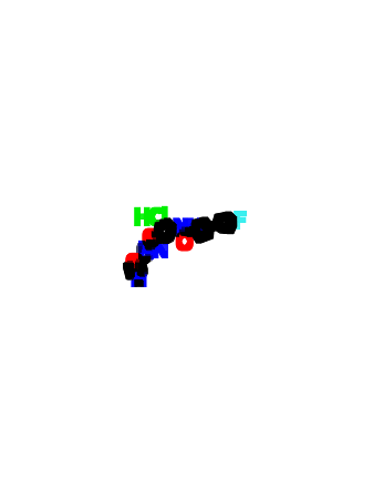 CN1CCO[C@@H](CN(C)c2nc3cc(NC(=O)c4ccc(-c5ccc(F)cc5)cc4)ccc3o2)C1.Cl